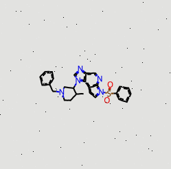 CC1CCN(Cc2ccccc2)CC1n1cnc2cnc3c(ccn3S(=O)(=O)c3ccccc3)c21